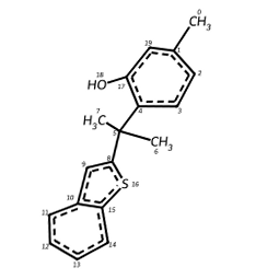 Cc1ccc(C(C)(C)c2cc3ccccc3s2)c(O)c1